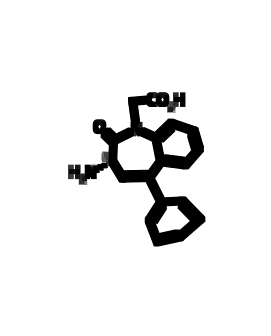 N[C@H]1C=C(c2ccccc2)c2ccccc2N(CC(=O)O)C1=O